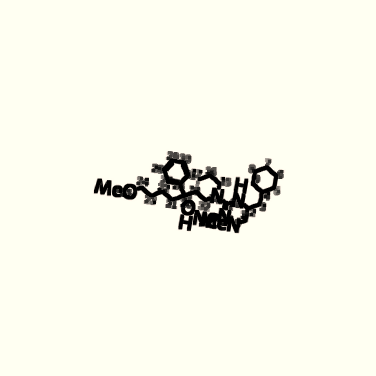 CNCC(CC1CCCCC1)NC(=NC#N)N1CCC[C@@H]([C@@](O)(CCCCOC)c2ccccc2)C1